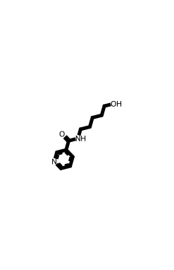 O=C(NCCCCCO)c1cccnc1